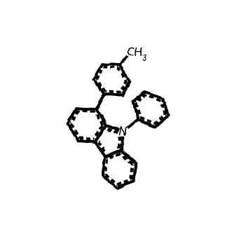 Cc1ccc(-c2cccc3c4ccccc4n(-c4ccccc4)c23)cc1